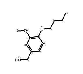 CCCCOc1ccc(CO)cc1OC